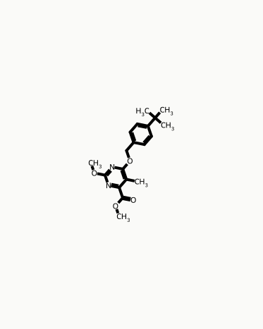 COC(=O)c1nc(OC)nc(OCc2ccc(C(C)(C)C)cc2)c1C